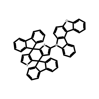 c1ccc2c(c1)-c1ccccc1C21c2cc(-n3c4ccccc4c4c5c(ccc43)oc3ccccc35)sc2C2(c3ccccc3-c3ccccc32)c2ccsc21